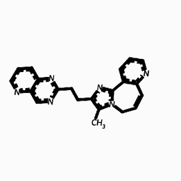 Cc1c(CCc2ncc3ncccc3n2)nc2n1CC=Cc1ncccc1-2